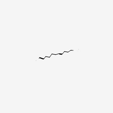 C/C=C/CCCC/C=C/CCCOC(C)=O